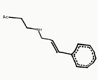 CC(=O)CCNCC=Cc1ccccc1